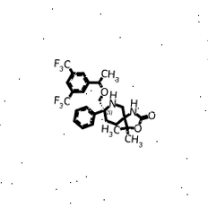 CC(OC[C@@]1(c2ccccc2)CCC2(CN1)NC(=O)OC2(C)C)c1cc(C(F)(F)F)cc(C(F)(F)F)c1